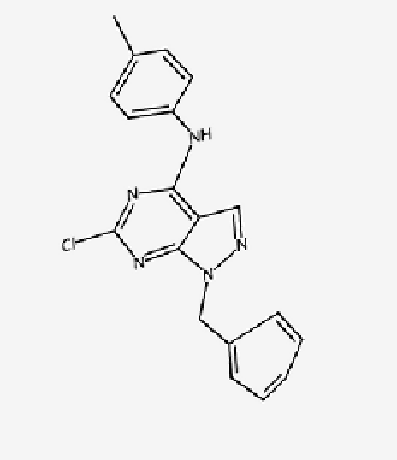 Cc1ccc(Nc2nc(Cl)nc3c2cnn3Cc2ccccc2)cc1